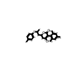 Cc1ccc(SC(C)CC2CC(O)=C(c3c(C)cc(C)cc3C)C(=O)O2)cc1